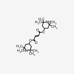 CC1(C)CC(OC(=O)C=CC(=O)OC2CC(C)(C)NC(C)(C)C2)CC(C)(C)N1